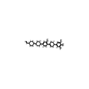 C=CC1CCC(C2CCC(c3ccc(C4=CCC(c5cc(F)c(F)c(F)c5)CC4)c(F)c3)CC2)CC1